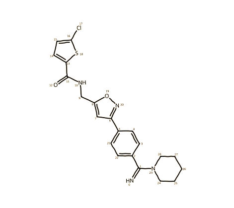 N=C(c1ccc(-c2cc(CNC(=O)c3ccc(Cl)s3)on2)cc1)N1CCCCC1